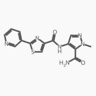 Cn1ncc(NC(=O)c2csc(-c3cccnc3)n2)c1C(N)=O